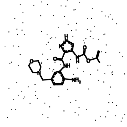 C=C(C)OC(=O)Nc1c[nH]nc1C(=O)Nc1cc(CN2CCOCC2)ccc1N